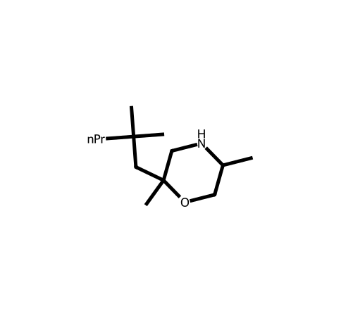 CCCC(C)(C)CC1(C)CNC(C)CO1